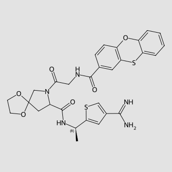 C[C@@H](NC(=O)C1CC2(CN1C(=O)CNC(=O)c1ccc3c(c1)Sc1ccccc1O3)OCCO2)c1cc(C(=N)N)cs1